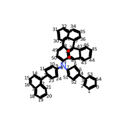 c1ccc(-c2ccc(N(c3ccc(-c4cccc5ccccc45)cc3)c3ccc(-c4cccc5cccc(-c6cccc7ccccc67)c45)cc3)cc2)cc1